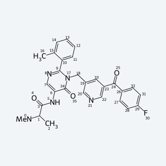 CNC(C)C(=O)Nc1cnc(-c2ccccc2C)n(Cc2cncc(C(=O)c3ccc(F)cc3)c2)c1=O